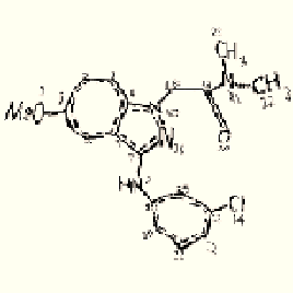 COc1ccc2c(c1)c(Nc1cccc(Cl)c1)nn2CC(=O)N(C)C